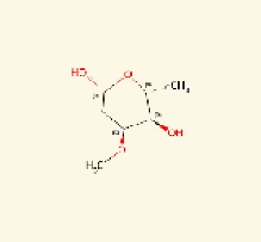 CO[C@H]1C[C@H](O)O[C@H](C)[C@H]1O